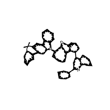 CC1(C)c2ccccc2-c2cc3c(cc21)c1ccccc1n3-c1cccc2c1oc1cccc(-c3cc(-c4ccccc4)nc4ccccc34)c12